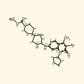 CC(=O)c1c(C)c2cnc(NC3CNC(C4CCN(C(=O)OC(C)(C)C)CC4)CN3)cc2n(C2CCCC2)c1=O